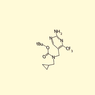 CC(C)(C)OC(=O)N(Cc1cnc(N)nc1C(F)(F)F)CC1CC1